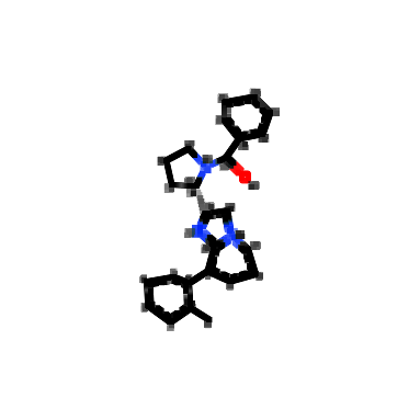 Cc1ccccc1-c1cccn2cc([C@@H]3CCCN3C(=O)c3ccccc3)nc12